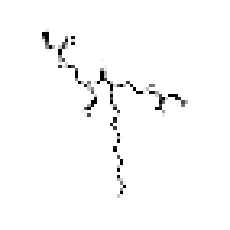 C=CC(=O)OCCN1C(=O)C(CCCCCCCC)N(CCOC(=O)C=C)C1=O